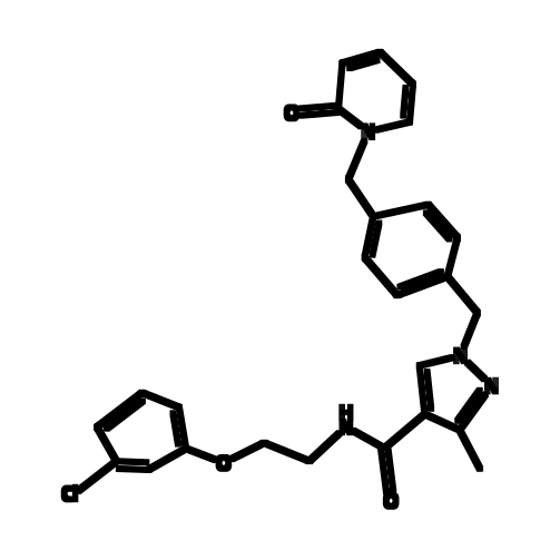 Cc1nn(Cc2ccc(Cn3ccccc3=O)cc2)cc1C(=O)NCCOc1cccc(Cl)c1